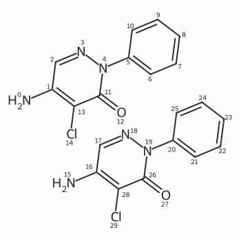 Nc1cnn(-c2ccccc2)c(=O)c1Cl.Nc1cnn(-c2ccccc2)c(=O)c1Cl